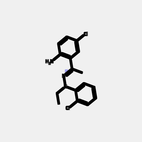 CCN(/N=C(\C)c1cc(Cl)ccc1N)c1ccccc1Cl